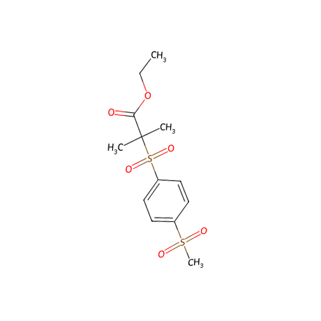 CCOC(=O)C(C)(C)S(=O)(=O)c1ccc(S(C)(=O)=O)cc1